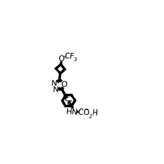 O=C(O)NC12CCC(c3nnc(C4CC(OC(F)(F)F)C4)o3)(CC1)CC2